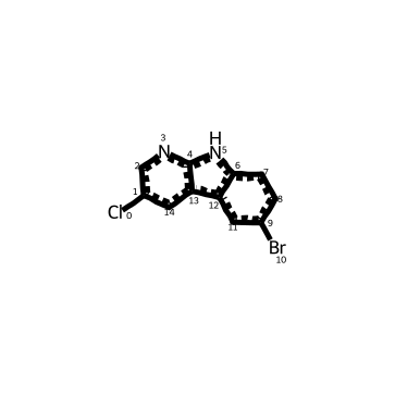 Clc1cnc2[nH]c3ccc(Br)cc3c2c1